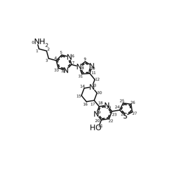 NCCCc1cnc(-n2cnc(CN3CCCC(c4nc(O)cc(-c5cccs5)n4)C3)c2)nc1